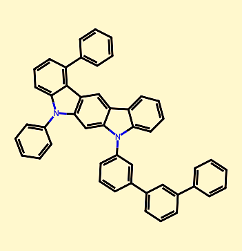 c1ccc(-c2cccc(-c3cccc(-n4c5ccccc5c5cc6c7c(-c8ccccc8)cccc7n(-c7ccccc7)c6cc54)c3)c2)cc1